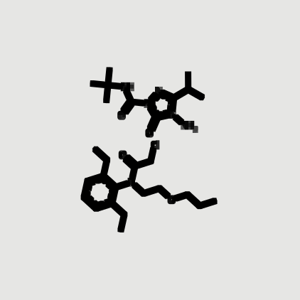 CC(C)c1nn(C(=O)NC(C)(C)C)c(=O)n1N.CCCOCCN(C(=O)CCl)c1c(CC)cccc1CC